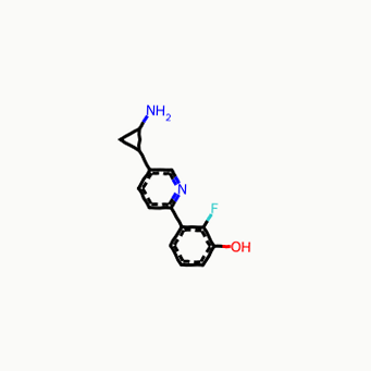 NC1CC1c1ccc(-c2cccc(O)c2F)nc1